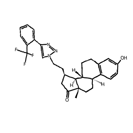 C[C@]12CC[C@@H]3c4ccc(O)cc4CC[C@H]3[C@@H]1[C@H](CCn1cc(-c3ccccc3C(F)(F)F)nn1)CC2=O